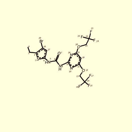 CCc1sc(NC(=O)Nc2nc(OCC(F)(F)F)cc(OCC(F)(F)F)n2)cc1Br